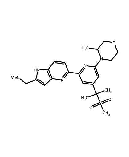 CNCc1cc2nc(-c3cc(C(C)(C)S(C)(=O)=O)cc(N4CCOCC4C)n3)ccc2[nH]1